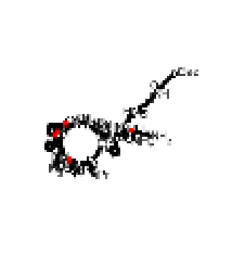 CCCCCCCCCCCCCCCC(=O)NCCCCCC(=O)NCCCC[C@H](NC(=O)C[C@H](Cc1ccccc1)NC(=O)[C@@H]1CC/C=C\CC[C@H](NC(=O)CC(C)C)C(=O)N[C@@H]([C@@H](C)O)C(=O)N[C@@H](Cc2cnc[nH]2)C(=O)N[C@@H](C(c2ccccc2)c2ccccc2)C(=O)N2CCC[C@H]2C(=O)N[C@@H](C)C(=O)N[C@@H]([C@@H](C)CC)C(=O)N1)C(=O)N[C@H](CCCCN)C(N)=O